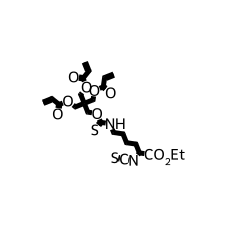 C=CC(=O)OCC(COC(=O)C=C)(COC(=O)C=C)COC(=S)NCCCCC(N=C=S)C(=O)OCC